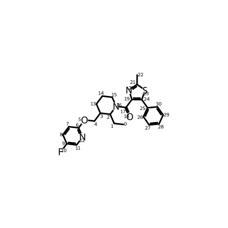 CCC1C(COc2ccc(F)cn2)CCCN1C(=O)c1nc(C)sc1-c1ccccc1